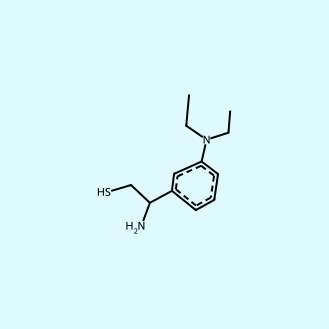 CCN(CC)c1cccc(C(N)CS)c1